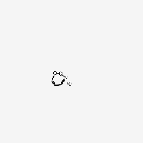 C1=COON=C1.[O]